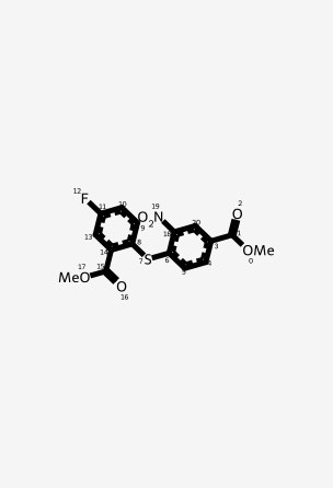 COC(=O)c1ccc(Sc2ccc(F)cc2C(=O)OC)c([N+](=O)[O-])c1